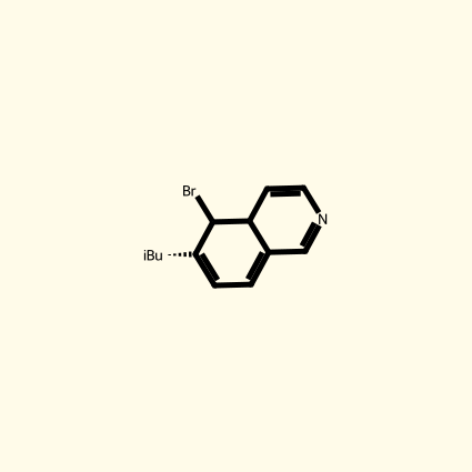 CC[C@@H](C)C1=CC=C2C=NC=CC2C1Br